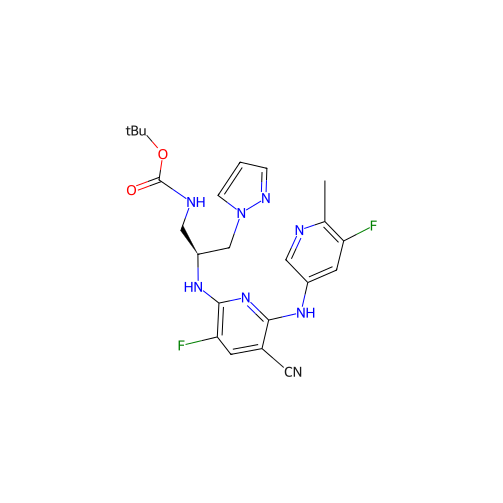 Cc1ncc(Nc2nc(N[C@@H](CNC(=O)OC(C)(C)C)Cn3cccn3)c(F)cc2C#N)cc1F